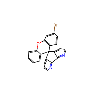 Brc1ccc2c(c1)Oc1ccccc1C21c2cccnc2-c2ncccc21